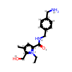 CCn1c(C(=O)NCc2ccc(CN)cc2)cc(C)c1CO